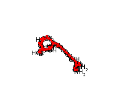 COC1C[C@@H]2CC[C@@H](C)[C@@](O)(O2)C(=O)C(=O)N2CCCCC2C(=O)OC([C@H](C)CC2CCC(O)[C@H](OC)C2)C[C@@H](OC)C(C)/C=C(\C)C(O)[C@@H](OC)/C(C(C)CC(C)C)=N/CC\S(COCc2cn(CCOCCOCCOCCOCCOCCC(=O)NCCCCn3nc(-c4ccc5oc(N)nc5c4)c4c(N)ncnc43)nn2)=C/C=C/C=C/1C